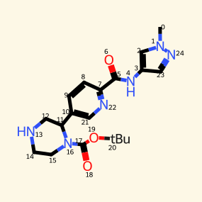 Cn1cc(NC(=O)c2ccc(C3CNCCN3C(=O)OC(C)(C)C)cn2)cn1